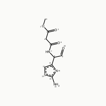 COC(=O)CC(=O)NC([C]=O)c1csc(N)n1